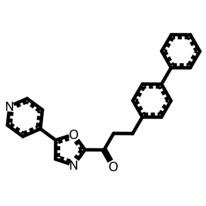 O=C(CCc1ccc(-c2ccccc2)cc1)c1ncc(-c2ccncc2)o1